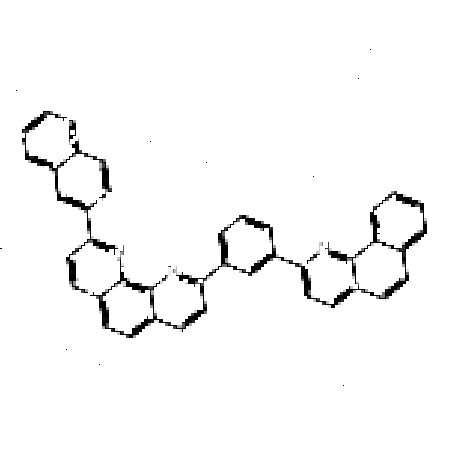 c1cc(-c2ccc3ccc4ccccc4c3n2)cc(-c2ccc3ccc4ccc(-c5ccc6ccccc6c5)nc4c3n2)c1